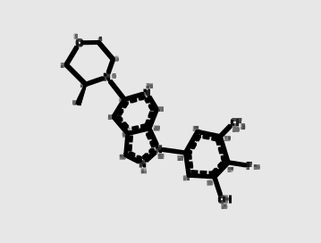 C[C@H]1COCCN1c1cc2cnn(-c3cc(O)c(F)c(C(F)(F)F)c3)c2cn1